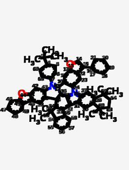 CC(C)(C)c1ccc(N2B3c4cc5occ(-c6ccccc6)c5cc4-n4c5cc6c(cc5c5c7c(c(c3c54)-c3cc4c(cc32)oc2ccccc24)C(C)(C)c2ccccc2-7)C(C)(C)CCC6(C)C)cc1